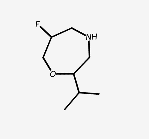 CC(C)C1CNCC(F)CO1